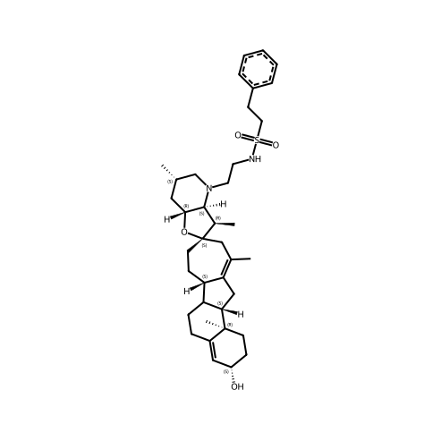 CC1=C2C[C@H]3C(CCC4=C[C@@H](O)CC[C@@]43C)[C@@H]2CC[C@@]2(C1)O[C@@H]1C[C@H](C)CN(CCNS(=O)(=O)CCc3ccccc3)[C@H]1[C@H]2C